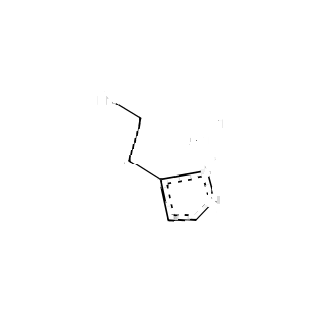 Cl.Cl.NCCc1cc[nH]n1